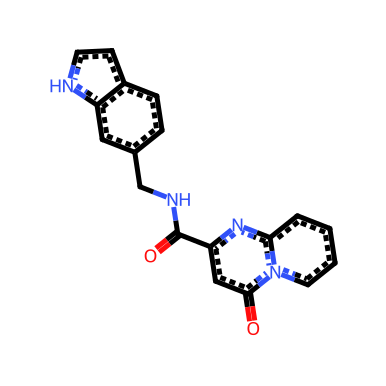 O=C(NCc1ccc2cc[nH]c2c1)c1cc(=O)n2ccccc2n1